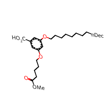 CCCCCCCCCCCCCCCCCCOc1cc(OCCCCC(=O)OC)cc(C(=O)O)c1